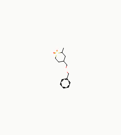 CC1CC(COCc2ccccc2)CCS1(=O)=O